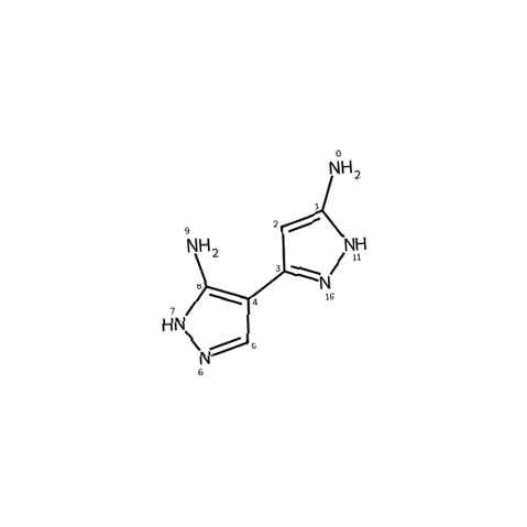 Nc1cc(-c2cn[nH]c2N)n[nH]1